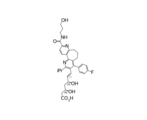 CC(C)c1nc2c(c(-c3ccc(F)cc3)c1/C=C/[C@@H](O)C[C@@H](O)CC(=O)O)CCCc1nc(C(=O)NCCCO)ccc1-2